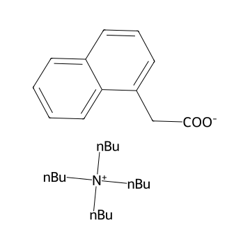 CCCC[N+](CCCC)(CCCC)CCCC.O=C([O-])Cc1cccc2ccccc12